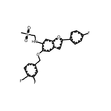 CS(=O)(=O)CNc1cc2oc(-c3ccc(F)cc3)cc2cc1OCc1ccc(F)c(F)c1